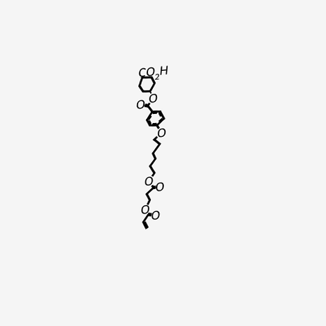 C=CC(=O)OCCC(=O)OCCCCCCOc1ccc(C(=O)O[C@H]2CC[C@H](C(=O)O)CC2)cc1